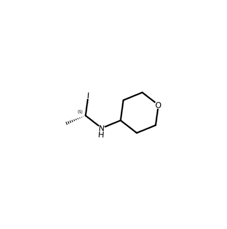 C[C@H](I)NC1CCOCC1